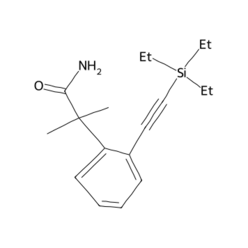 CC[Si](C#Cc1ccccc1C(C)(C)C(N)=O)(CC)CC